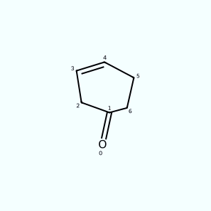 O=C1CC=CCC1